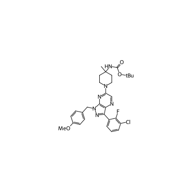 COc1ccc(Cn2nc(-c3cccc(Cl)c3F)c3ncc(N4CCC(C)(NC(=O)OC(C)(C)C)CC4)nc32)cc1